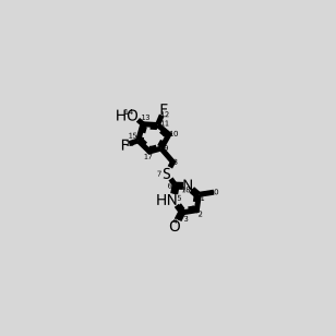 Cc1cc(=O)[nH]c(SCc2cc(F)c(O)c(F)c2)n1